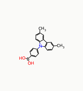 Cc1ccc2c(c1)c1cc(C)ccc1n2-c1ccc(B(O)O)cc1